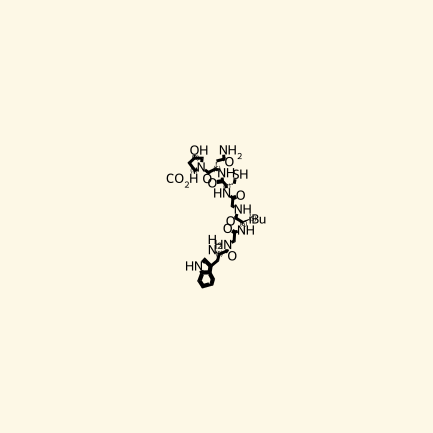 CC[C@H](C)[C@H](NC(=O)CNC(=O)[C@@H](N)Cc1c[nH]c2ccccc12)C(=O)NCC(=O)N[C@@H](CS)C(=O)N[C@@H](CC(N)=O)C(=O)N1C[C@H](O)C[C@H]1C(=O)O